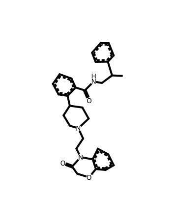 CC(CNC(=O)c1ccccc1C1CCN(CCN2C(=O)COc3ccccc32)CC1)c1ccccc1